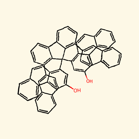 Oc1cc(C2(c3cc(O)cc4c3ccc3ccccc34)c3c(-c4ccc5ccccc5c4)cccc3-c3cccc(-c4ccc5ccccc5c4)c32)c2ccc3ccccc3c2c1